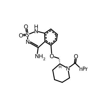 CCCC(=O)N1CCCC[C@@H]1COc1cccc2c1C(N)=NS(=O)(=O)N2